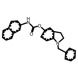 O=C(Nc1ccc2ccccc2c1)Oc1ccc2c(c1)CCN2Cc1ccccc1